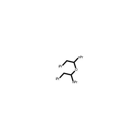 CCCC(CC(C)C)OC(CCC)CC(C)C